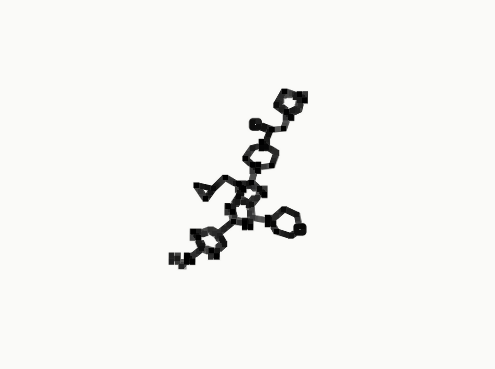 Nc1ncc(-c2nc(N3CCOCC3)c3nc(N4CCN(C(=O)Cn5ccnc5)CC4)n(CC4CC4)c3n2)cn1